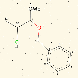 COC(OCc1ccccc1)C(C)Cl